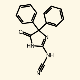 N#CNC1=NC(c2ccccc2)(c2ccccc2)C(=O)N1